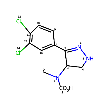 CN(C(=O)O)C1CNN=C1c1ccc(Cl)c(Cl)c1